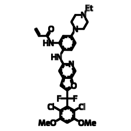 C=CC(=O)Nc1cc(N2CCN(CC)CC2)ccc1Nc1cc2cc(C(F)(F)c3c(Cl)c(OC)cc(OC)c3Cl)oc2cn1